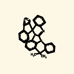 CC1(C)c2ccccc2N2C3=Nc4ccccc4C4(c5ccccc5-c5ccccc54)N3c3cccc1c32